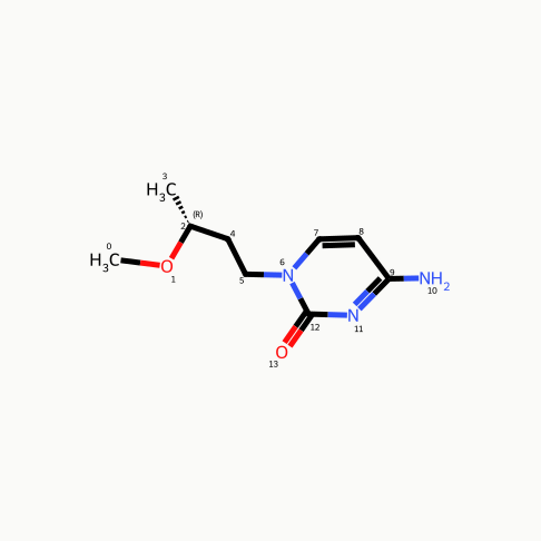 CO[C@H](C)CCn1ccc(N)nc1=O